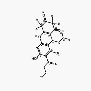 CCCC(=O)c1c(O)cc2c(c1O)C(CC(C)C)C1=C(O2)C(C)(C)C(=O)C(C)(C)C1=O